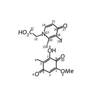 COC1=CC(=O)C(C)=C(O)C1=O.O=C(O)Cn1ccc(=O)c(I)c1I